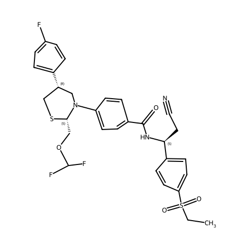 CCS(=O)(=O)c1ccc([C@H](CC#N)NC(=O)c2ccc(N3C[C@@H](c4ccc(F)cc4)CS[C@H]3COC(F)F)cc2)cc1